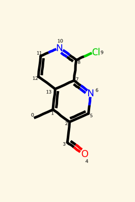 Cc1c(C=O)cnc2c(Cl)nccc12